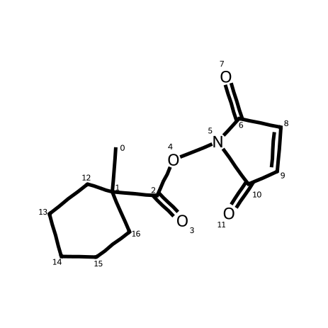 CC1(C(=O)ON2C(=O)C=CC2=O)CCCCC1